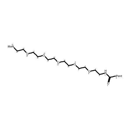 CCCC(C)C(=O)NCCOCCOCCOCCOCCOCCNC